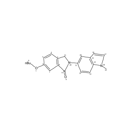 CCCCOc1ccc2c(c1)C(=O)N(c1ccc3c(ccn3C)c1)C2